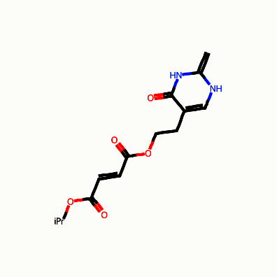 C=C1NC=C(CCOC(=O)/C=C/C(=O)OC(C)C)C(=O)N1